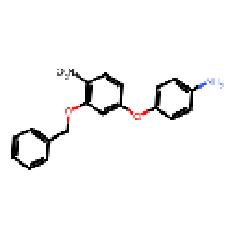 Nc1ccc(Oc2ccc([N+](=O)[O-])c(OCc3ccccc3)c2)cc1